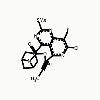 CC#Cc1nc(Cl)c(F)c2nc(SC)nc(N3CC4CC(C3)N4C(=O)OC(C)(C)C)c12